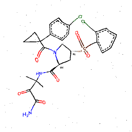 CC(C)(NC(=O)[C@@H]1C[C@@H](S(=O)(=O)c2ccccc2Cl)CN1C(=O)C1(c2ccc(Cl)cc2)CC1)C(=O)C(N)=O